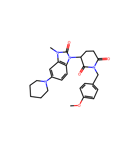 COc1ccc(CN2C(=O)CCC(n3c(=O)n(C)c4cc(N5CCCCC5)ccc43)C2=O)cc1